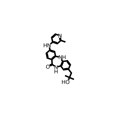 Cc1cc(Nc2ccc3c(c2)Nc2ccc(CC(C)(C)O)cc2NC3=O)ccn1